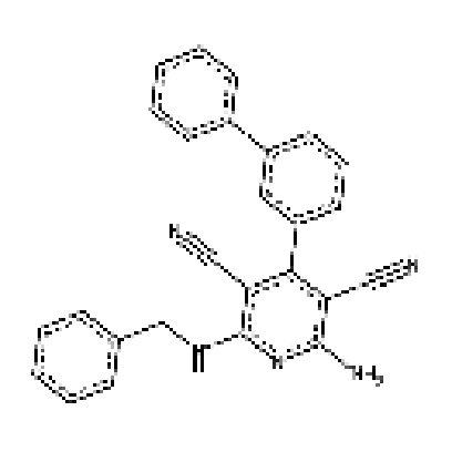 N#Cc1c(N)nc(NCc2ccccc2)c(C#N)c1-c1cccc(-c2ccccc2)c1